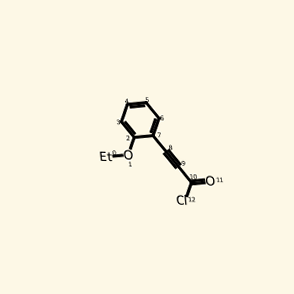 CCOc1ccccc1C#CC(=O)Cl